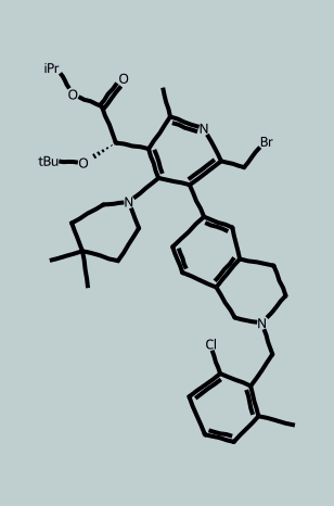 Cc1cccc(Cl)c1CN1CCc2cc(-c3c(CBr)nc(C)c([C@H](OC(C)(C)C)C(=O)OC(C)C)c3N3CCC(C)(C)CC3)ccc2C1